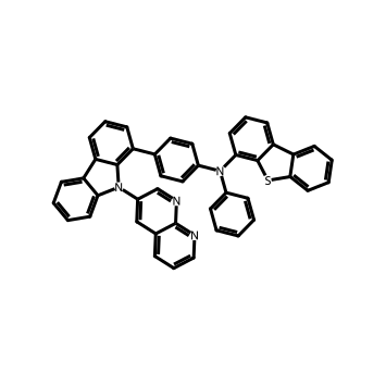 c1ccc(N(c2ccc(-c3cccc4c5ccccc5n(-c5cnc6ncccc6c5)c34)cc2)c2cccc3c2sc2ccccc23)cc1